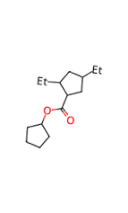 CCC1CC(CC)C(C(=O)OC2CCCC2)C1